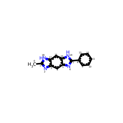 Cc1nc2cc3nc(-c4ccccc4)[nH]c3cc2[nH]1